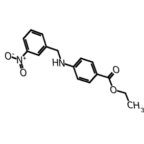 CCOC(=O)c1ccc(NCc2cccc([N+](=O)[O-])c2)cc1